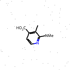 CNc1nccc(C(=O)O)c1C